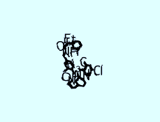 CC[C@H](C(=O)NCc1ccc(CN(Cc2ncc(Cl)cc2C)C2CCCc3cccnc32)c(CO)c1)c1ccccc1